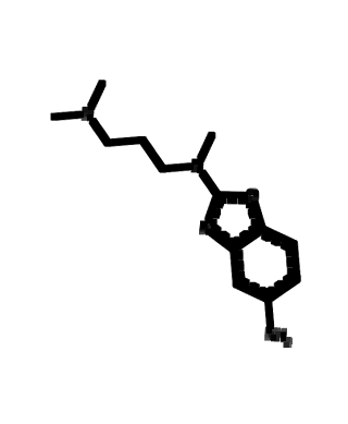 CN(C)CCCN(C)c1nc2cc(N)ccc2o1